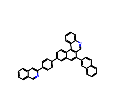 c1ccc2cc(-c3cc4cc(-c5ccc(-c6cc7ccccc7cn6)cc5)ccc4c4c3cnc3ccccc34)ccc2c1